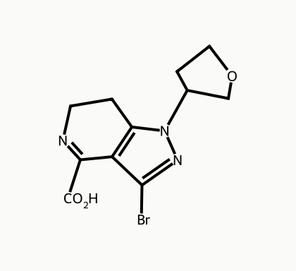 O=C(O)C1=NCCc2c1c(Br)nn2C1CCOC1